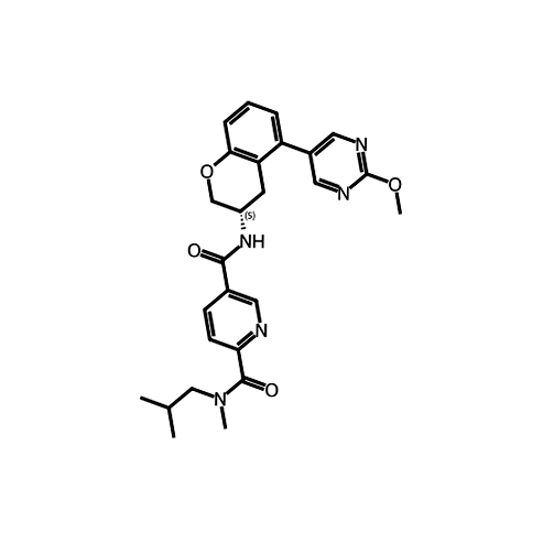 COc1ncc(-c2cccc3c2C[C@H](NC(=O)c2ccc(C(=O)N(C)CC(C)C)nc2)CO3)cn1